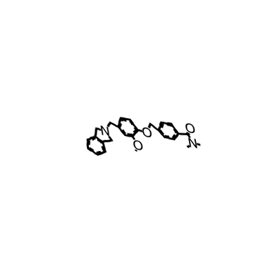 COc1cc(CN2Cc3ccccc3C2)ccc1OCc1ccc(C(=O)N(C)C)cc1